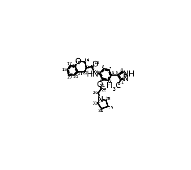 Cc1n[nH]cc1-c1ccc(NC(=O)C2COc3ccccc3C2)c(OCCN2CCCC2)c1